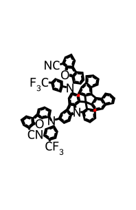 N#Cc1cccc2c1oc1c(N(c3ccc(C(F)(F)F)cc3)c3ccc4c(c3)c3cc(N(c5ccc(C(F)(F)F)cc5)c5cccc6c5oc5c(C#N)cccc56)cc5c3n4-c3ccccc3C53c4ccc5ccccc5c4-c4c3ccc3ccccc43)cccc12